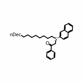 CCCCCCCCCCCCCCCCCC[S+](CC(=O)c1ccccc1)c1ccc2ccccc2c1